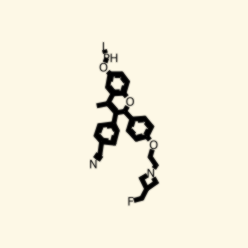 CC1=C(c2ccc(C#N)cc2)C(c2ccc(OCCN3CC(CF)C3)cc2)Oc2ccc(OPI)cc21